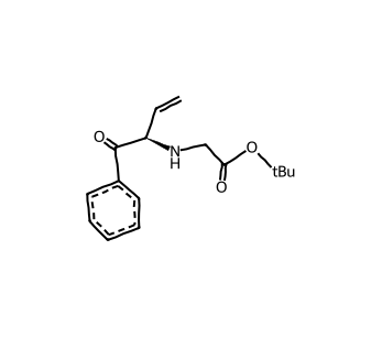 C=C[C@@H](NCC(=O)OC(C)(C)C)C(=O)c1ccccc1